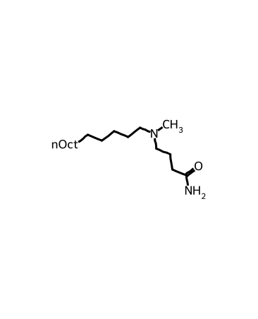 CCCCCCCCCCCCCN(C)CCCC(N)=O